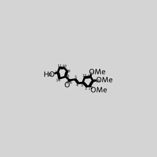 COc1cc(C=CC(=O)c2cccc(O)c2)cc(OC)c1OC